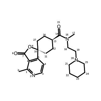 Cc1nccc2c1C(=O)O[C@]21CC[C@H](C(=O)N(C)CCN2CCCCC2)CC1